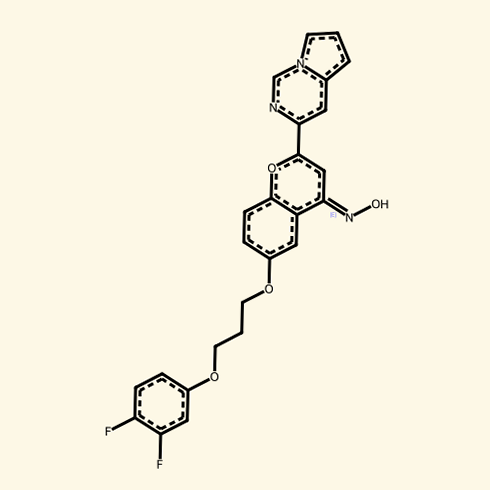 O/N=c1\cc(-c2cc3cccn3cn2)oc2ccc(OCCCOc3ccc(F)c(F)c3)cc12